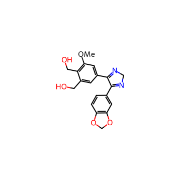 COc1cc(C2=NCN=C2c2ccc3c(c2)OCO3)cc(CO)c1CO